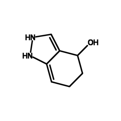 OC1CCC=C2NNC=C21